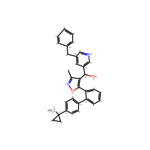 Cc1noc(-c2ccccc2-c2ccc(C3(C(=O)O)CC3)cc2)c1C(O)c1cncc(Cc2ccccc2)c1